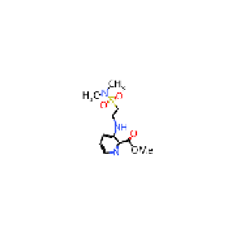 COC(=O)c1ncccc1NCCS(=O)(=O)N(C)C